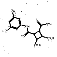 CNC(=O)C1C(C(=O)O)C(C(=O)O)C1C(=O)Nc1cc(C)cc(C)c1